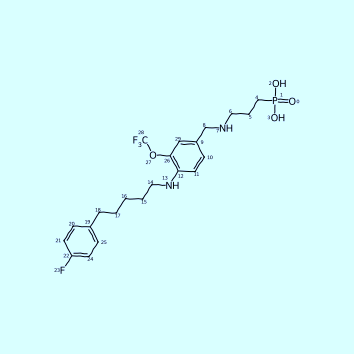 O=P(O)(O)CCCNCc1ccc(NCCCCCc2ccc(F)cc2)c(OC(F)(F)F)c1